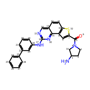 NC1CCN(C(=O)c2cc3c(ccc4cnc(Nc5cccc(-c6ccccc6)c5)nc43)s2)C1